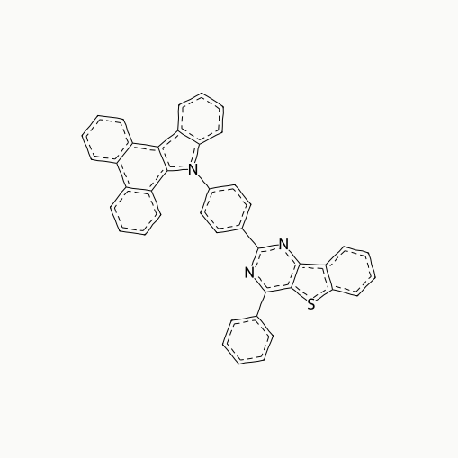 c1ccc(-c2nc(-c3ccc(-n4c5ccccc5c5c6ccccc6c6ccccc6c54)cc3)nc3c2sc2ccccc23)cc1